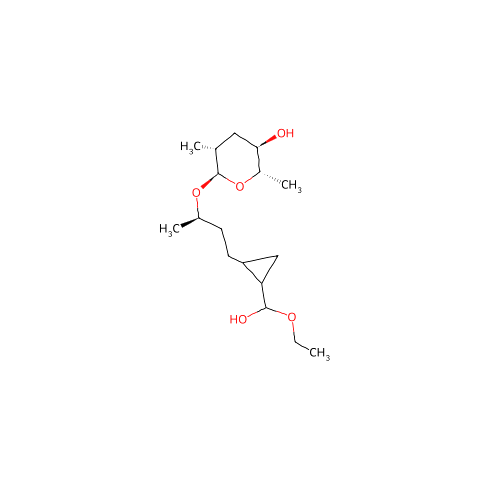 CCOC(O)C1CC1CC[C@@H](C)O[C@@H]1O[C@@H](C)[C@H](O)C[C@H]1C